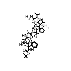 COC(C)(NC(=O)[C@H](C)NC(=O)[C@H](C)NC(=O)[C@](CO)(NC(=O)OC(C)(C)C)c1ccccc1)[PH](=O)C1(C(=O)[C@@](N)(C(=O)N[C@H](C(N)=O)C(C)C)C(C)C)CCCC1